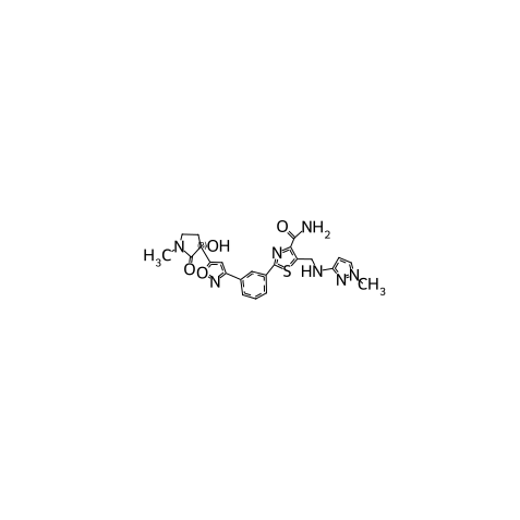 CN1CC[C@@](O)(c2cc(-c3cccc(-c4nc(C(N)=O)c(CNc5ccn(C)n5)s4)c3)no2)C1=O